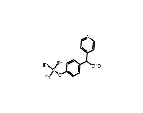 CC(C)[Si](Oc1ccc(C(C=O)c2ccncc2)cc1)(C(C)C)C(C)C